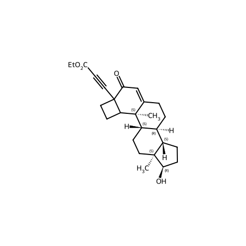 CCOC(=O)C#CC12CCC1[C@@]1(C)C(=CC2=O)CC[C@H]2[C@@H]3CC[C@@H](O)[C@@]3(C)CC[C@@H]21